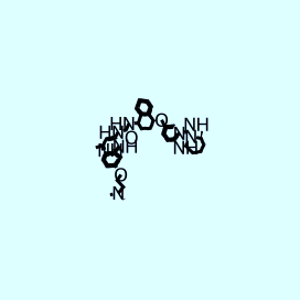 CC(=N)/C=C(/NC(=O)NC1CC[C@@H](Oc2ccc(=N)n(C(=N)N3CCCC[C@@H]3C)c2)c2ccccc21)Nc1cccc(OCCN(C)C)c1